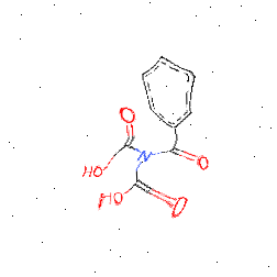 O=C(O)N(C(=O)O)C(=O)c1ccccc1